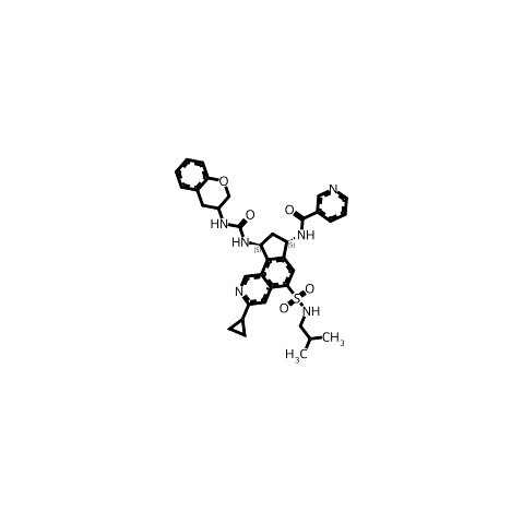 CC(C)CNS(=O)(=O)c1cc2c(c3cnc(C4CC4)cc13)[C@@H](NC(=O)NC1COc3ccccc3C1)C[C@@H]2NC(=O)c1cccnc1